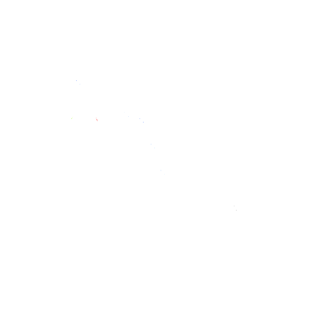 COCc1ccc(OC(F)(F)F)c(CNC(=O)Nc2c(C)c(O[C@@H]3CCN(C)C[C@@H]3F)nn2-c2ccccc2)c1